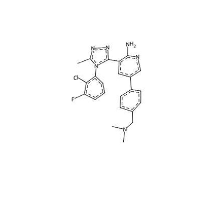 Cc1nnc(-c2cc(-c3ccc(CN(C)C)cc3)cnc2N)n1-c1cccc(F)c1Cl